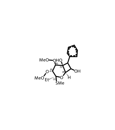 CC[C@@]1(SC)O[C@@H]2C(O)C(c3ccccc3)[C@@]2(O)[C@H](OOC)[C@H]1OOC